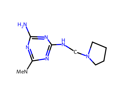 CNc1nc(N)nc(NCN2CCCC2)n1